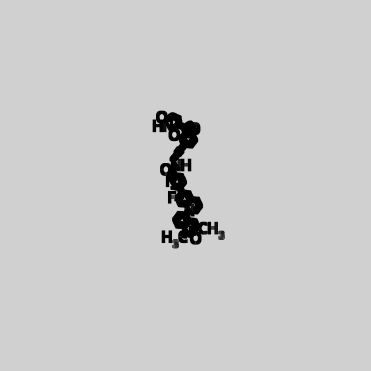 Cc1cc2c(N3CCCc4cc(-c5ccc(C(=O)NCC#Cc6ccc7occ(C8CCC(=O)NC8=O)c7c6)nc5)c(F)cc43)cccc2n(C)c1=O